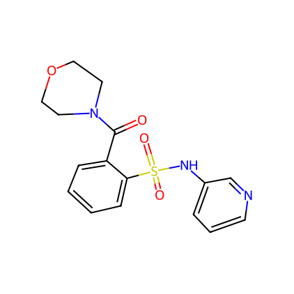 O=C(c1ccccc1S(=O)(=O)Nc1cccnc1)N1CCOCC1